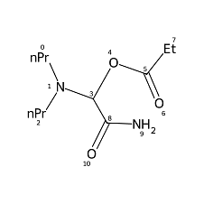 CCCN(CCC)C(OC(=O)CC)C(N)=O